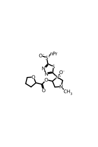 CCC[S+]([O-])c1nnc([N+]2([O-])CN(C)CC2OC(=O)C2CCCO2)s1